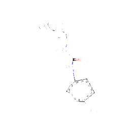 O=C(O)CNC(=O)Nc1ccc(Cl)cc1